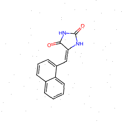 O=C1NC(=O)/C(=C\c2cccc3ccccc23)N1